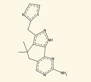 CC1(C)Cc2cnc(N)nc2-c2[nH]nc(Cc3nccs3)c21